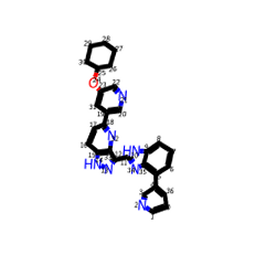 c1cncc(-c2cccc3[nH]c(-c4n[nH]c5ccc(-c6cncc(OC7CCCCC7)c6)nc45)nc23)c1